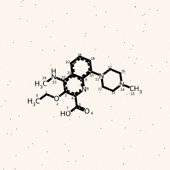 CCOc1c(C(=O)O)nc2c(N3CCN(C)CC3)cccc2c1NC